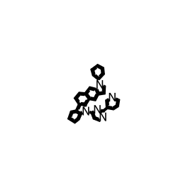 c1ccc(-n2ccc3cc4c(ccc5c6ccccc6n(-c6ccnc(-c7cccnc7)n6)c45)cc32)cc1